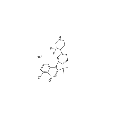 CC1(C)c2ccc(C3CCNCC3(F)F)cc2-n2c1nc(=O)c1c(Cl)cccc12.Cl